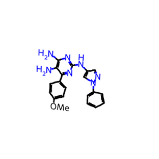 COc1ccc(-c2nc(Nc3cnn(-c4ccccc4)c3)nc(N)c2N)cc1